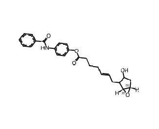 O=C(CCCC=CCC1C(O)C[C@@H]2O[C@H]12)Oc1ccc(NC(=O)c2ccccc2)cc1